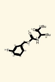 CC(C)(C)C(=O)C(NC(=O)OCc1cccc(F)c1)C(C)(C)C